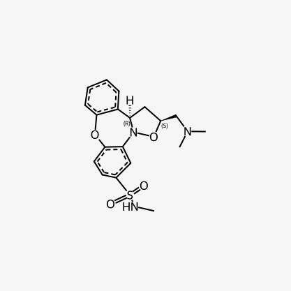 CNS(=O)(=O)c1ccc2c(c1)N1O[C@H](CN(C)C)C[C@@H]1c1ccccc1O2